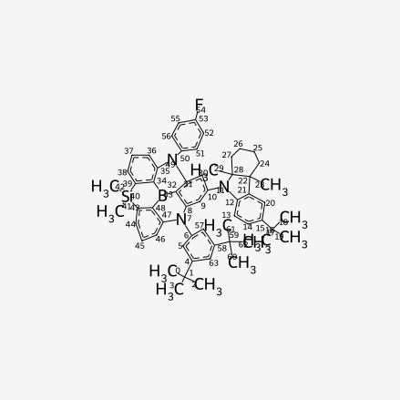 CC(C)(C)c1cc(N2c3cc(N4c5ccc(C(C)(C)C)cc5C5(C)CCCCC45C)cc4c3B3c5c(cccc5[Si](C)(C)c5cccc2c53)N4c2ccc(F)cc2)cc(C(C)(C)C)c1